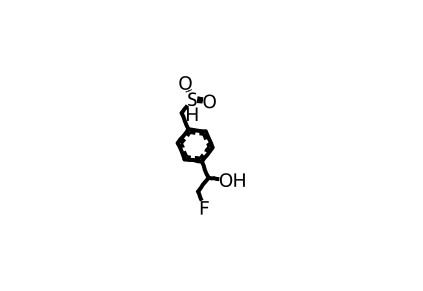 O=[SH](=O)Cc1ccc(C(O)CF)cc1